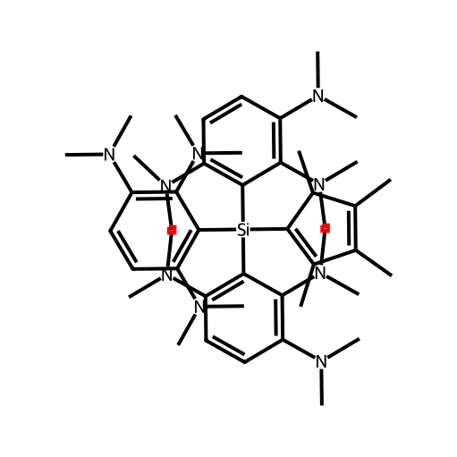 CC1=C(C)C(C)C([Si](c2c(N(C)C)ccc(N(C)C)c2N(C)C)(c2c(N(C)C)ccc(N(C)C)c2N(C)C)c2c(N(C)C)ccc(N(C)C)c2N(C)C)=C1C